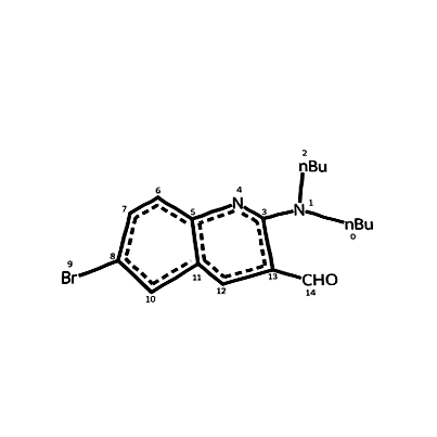 CCCCN(CCCC)c1nc2ccc(Br)cc2cc1C=O